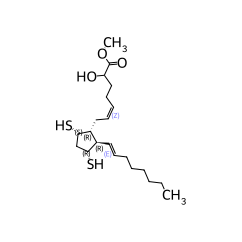 CCCCCC/C=C/[C@@H]1[C@@H](C/C=C\CCC(O)C(=O)OC)[C@@H](S)C[C@H]1S